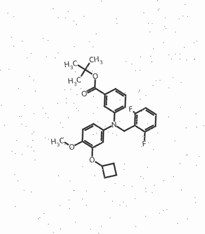 COc1ccc(N(Cc2c(F)cccc2F)c2cccc(C(=O)OC(C)(C)C)c2)cc1OC1CCC1